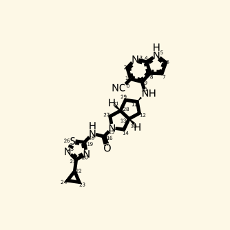 N#Cc1cnc2[nH]ccc2c1N[C@@H]1C[C@@H]2CN(C(=O)Nc3nc(C4CC4)ns3)C[C@@H]2C1